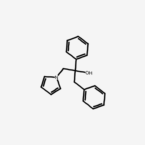 OC(Cc1ccccc1)(Cn1cccc1)c1ccccc1